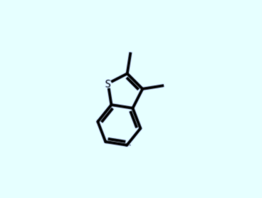 Cc1sc2cc[c]cc2c1C